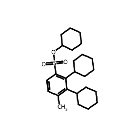 Cc1ccc(S(=O)(=O)OC2CCCCC2)c(C2CCCCC2)c1C1CCCCC1